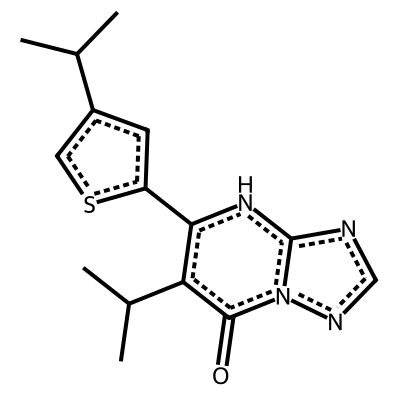 CC(C)c1csc(-c2[nH]c3ncnn3c(=O)c2C(C)C)c1